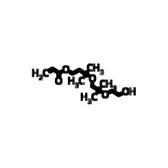 C=CC(=O)OCCC(C)(C)OCC(C)(C)OCCO